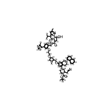 Cc1cc(C(C(=O)N2C[C@H](O)C[C@H]2C(=O)NCc2ccc(-c3scnc3C)cc2OCCO[C@@H]2C[C@@H](COc3nc4c(c(N5CCN(C(=O)OC(C)(C)C)C(CC#N)C5)n3)CCN(c3cccc5ccccc35)C4)N(C)C2)C(C)C)on1